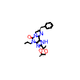 CCCN1C(=O)N2C[C@@H](Cc3ccccc3)N=C2c2[nH]c(C3(C)OC[C@@H](C)O3)nc21